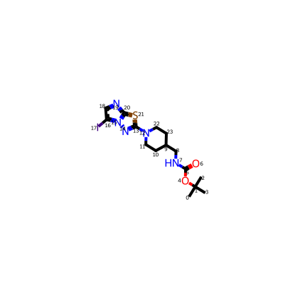 CC(C)(C)OC(=O)NCC1CCN(c2nn3c(I)cnc3s2)CC1